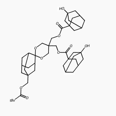 CC(C)(C)C(=O)OCC12CC3CC(C1)C1(OCC(COC(=O)C45CC6CC(CC(O)(C6)C4)C5)(COC(=O)C45CC6CC(CC(O)(C6)C4)C5)CO1)C(C3)C2